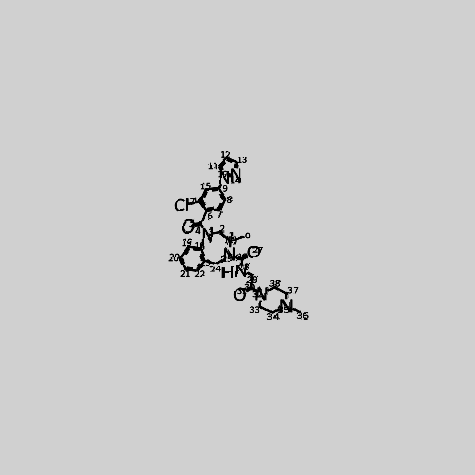 C[C@@H]1CN(C(=O)c2ccc(-n3cccn3)cc2Cl)c2ccccc2CN1C(=O)NCC(=O)N1CCN(C)CC1